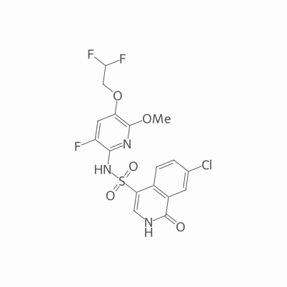 COc1nc(NS(=O)(=O)c2c[nH]c(=O)c3cc(Cl)ccc23)c(F)cc1OCC(F)F